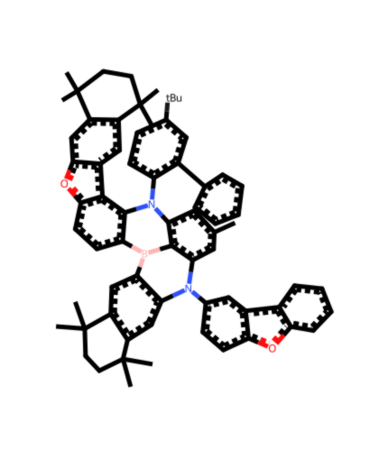 Cc1cc2c3c(c1)N(c1ccc(C(C)(C)C)cc1-c1ccccc1)c1c(ccc4oc5cc6c(cc5c14)C(C)(C)CCC6(C)C)B3c1cc3c(cc1N2c1ccc2oc4ccccc4c2c1)C(C)(C)CCC3(C)C